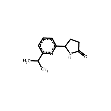 CC(C)c1cccc(C2CCC(=O)N2)n1